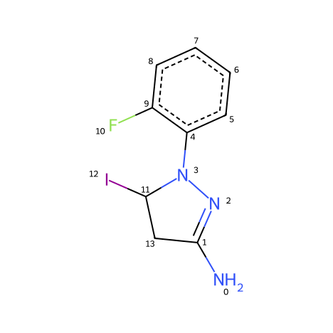 NC1=NN(c2ccccc2F)C(I)C1